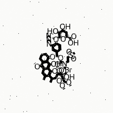 COc1c2c(c(O)c3c4c(c(C)cc13)C(C)C1OC(O)(C(OC)OC)[C@@](CBr)(OCN(CCS(C)(=O)=O)C(=O)OCc3ccc(O[C@@H]5O[C@H](C(=O)O)C[C@H](O)[C@H]5O)c(N=[N+]=[N-])c3)[C@]1(OC)O4)C(=O)CCC2